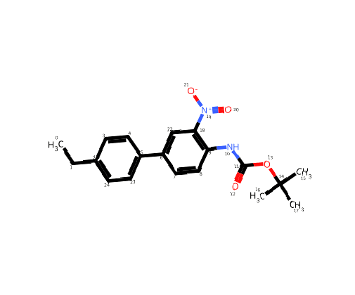 CCc1ccc(-c2ccc(NC(=O)OC(C)(C)C)c([N+](=O)[O-])c2)cc1